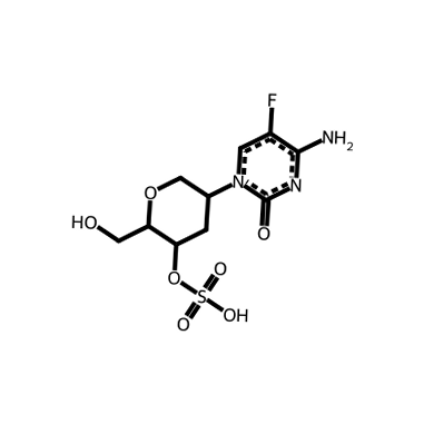 Nc1nc(=O)n(C2COC(CO)C(OS(=O)(=O)O)C2)cc1F